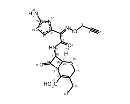 C#CCO/N=C(\C(=O)N[C@@H]1C(=O)N2C(C(=O)O)=C(CI)CS[C@H]12)c1csc(N)n1